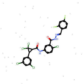 O=C(N/N=C/c1ccc(F)cc1F)c1cc(NC(=O)C2C(c3cc(Cl)cc(Cl)c3)C2(Cl)Cl)ccc1Cl